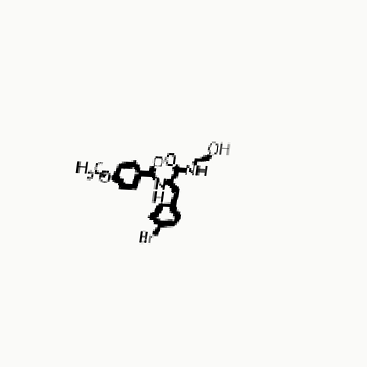 COc1ccc(C(=O)N/C(=C\c2ccc(Br)cc2)C(=O)NCCO)cc1